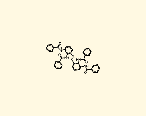 O=C(Nc1cccc(SSc2cccc(NC(=O)c3ccccc3)c2NC(=O)c2ccccc2)c1NC(=O)c1ccccc1)c1ccccc1